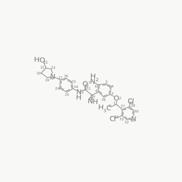 CC(Oc1ccc(N)c(C(=N)C(=O)Nc2ccc(N3CCC(O)C3)cc2)c1)c1c(Cl)cncc1Cl